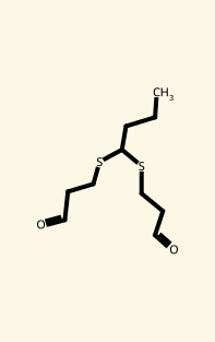 CCCC(SCCC=O)SCCC=O